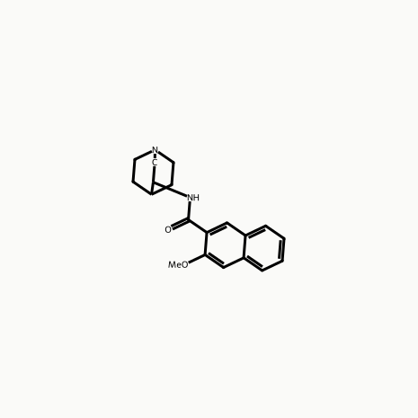 COc1cc2ccccc2cc1C(=O)NC1CN2CCC1CC2